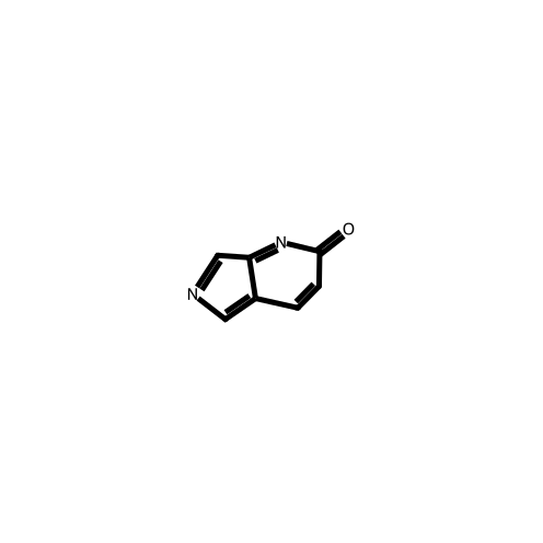 O=C1C=CC2=CN=CC2=N1